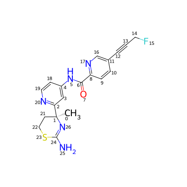 C[C@@]1(c2cc(NC(=O)c3ccc(C#CCF)cn3)ccn2)CCSC(N)=N1